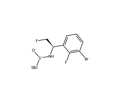 CC(C)(C)[S+]([O-])N[C@@H](CF)c1cccc(Br)c1F